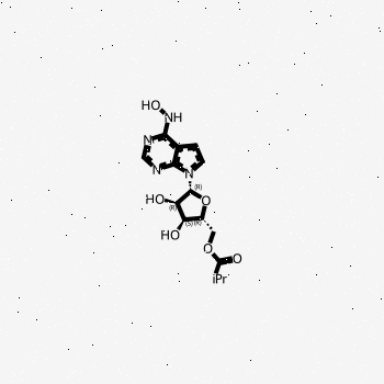 CC(C)C(=O)OC[C@H]1O[C@@H](n2ccc3c(NO)ncnc32)[C@H](O)[C@@H]1O